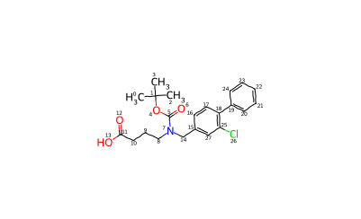 CC(C)(C)OC(=O)N(CCCC(=O)O)Cc1ccc(-c2ccccc2)c(Cl)c1